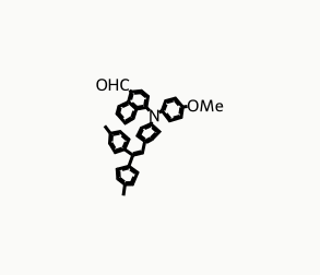 COc1ccc(N(c2ccc(C=C(c3ccc(C)cc3)c3ccc(C)cc3)cc2)c2ccc(C=O)c3ccccc23)cc1